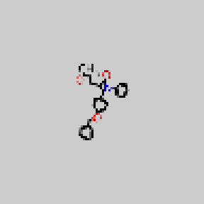 CC(=O)CCC1C(=O)N(c2ccccc2)C1c1ccc(OCc2ccccc2)cc1